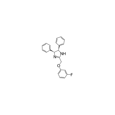 Fc1cccc(OCC2=N[C@@H](c3ccccc3)[C@@H](c3ccccc3)N2)c1